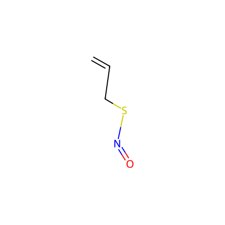 C=CCSN=O